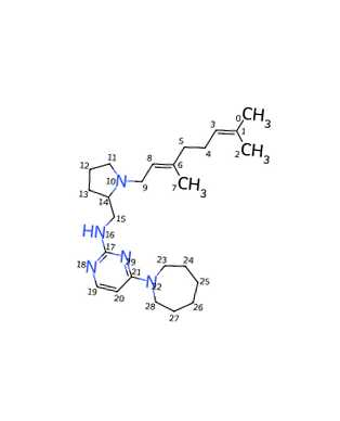 CC(C)=CCC/C(C)=C/CN1CCCC1CNc1nccc(N2CCCCCC2)n1